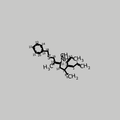 C=C/C=C(\C=C/C)C(C=C)C/C(NC)=C(\C)CSCc1ccccc1